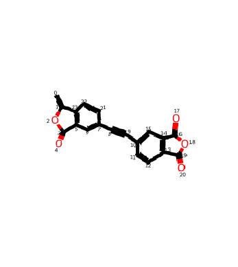 C=C1OC(=O)c2cc(C#Cc3ccc4c(c3)C(=O)OC4=O)ccc21